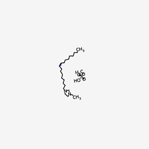 CCCCCCCC/C=C\CCCCCCCCN1CCN(CC)C1.COS(=O)(=O)O